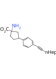 CCCCCCCC#Cc1ccc(C2CCC(N)(C(=O)O)C2)cc1